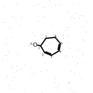 [O]C1C=CC=CCC1